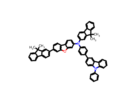 CC1(C)c2ccccc2-c2ccc(-c3ccc4c(c3)oc3cc(N(c5ccc(-c6ccc7c(c6)c6ccccc6n7-c6ccccc6)cc5)c5ccc6c(c5)C(C)(C)c5ccccc5-6)ccc34)cc21